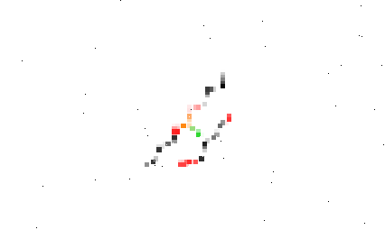 CCCCOP(Cl)OCCCC.OCCCCO